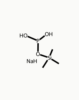 C[Si](C)(C)OP(O)O.[NaH]